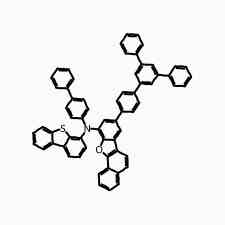 c1ccc(-c2ccc(N(c3cc(-c4ccc(-c5cc(-c6ccccc6)cc(-c6ccccc6)c5)cc4)cc4c3oc3c5ccccc5ccc43)c3cccc4c3sc3ccccc34)cc2)cc1